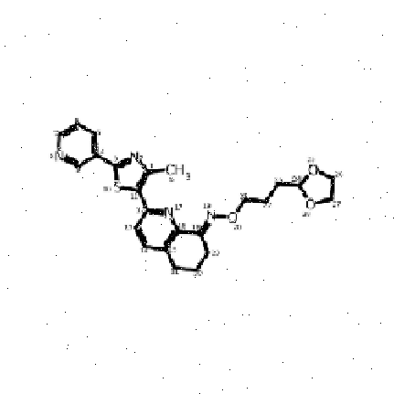 Cc1nc(-c2cccnc2)sc1-c1ccc2c(n1)/C(=N/OCCCC1OCCO1)CCC2